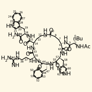 CCCC[C@H](NC(C)=O)C(=O)N[C@H]1CCC(=O)NCCC(C(=O)N[C@H](Cc2c[nH]c3ccccc23)C(N)=O)NC(=O)[C@H](CCCNC(=N)N)NC(=O)[C@@H](Cc2ccccc2)NC(=O)[C@H](Cc2c[nH]cn2)NC1=O